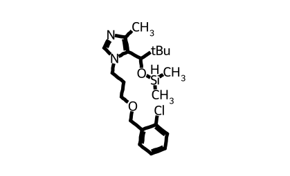 Cc1ncn(CCCOCc2ccccc2Cl)c1C(O[SiH](C)C)C(C)(C)C